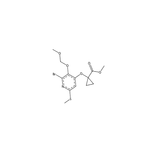 COCOc1c(OC2(C(=O)OC)CC2)cc(SC)nc1Br